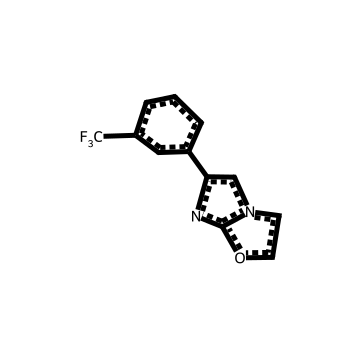 FC(F)(F)c1cccc(-c2cn3ccoc3n2)c1